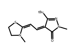 CN1N=C(C(C)(C)C)/C(=C\C=C2\SCCN2C)C1=O